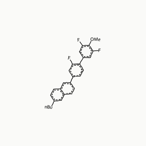 CCCCc1ccc2cc(-c3ccc(-c4cc(F)c(OC)c(F)c4)c(F)c3)ccc2c1